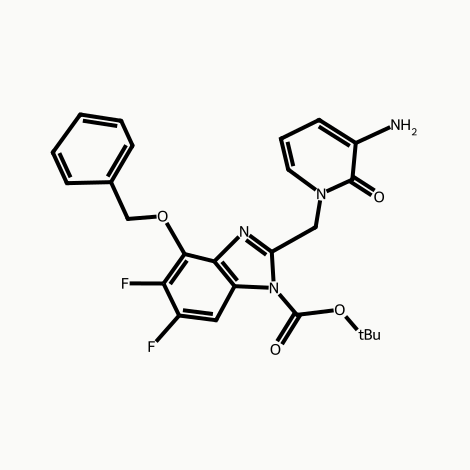 CC(C)(C)OC(=O)n1c(Cn2cccc(N)c2=O)nc2c(OCc3ccccc3)c(F)c(F)cc21